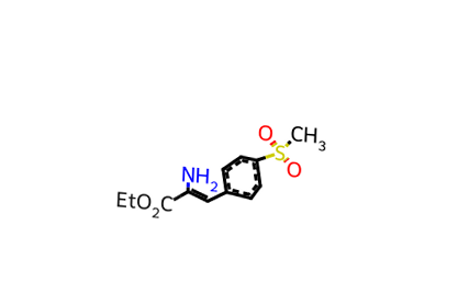 CCOC(=O)C(N)=Cc1ccc(S(C)(=O)=O)cc1